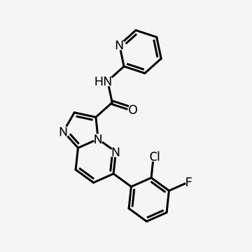 O=C(Nc1ccccn1)c1cnc2ccc(-c3cccc(F)c3Cl)nn12